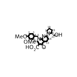 COc1ccc(Cn2cc(C(=O)O)c(=O)c3ccc(N4CCC[C@@H]4CO)nc32)c(OC)c1